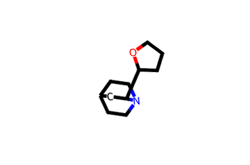 C1CO[C](C2CC3CCN2CC3)C1